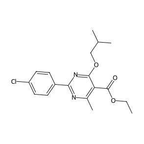 CCOC(=O)c1c(C)nc(-c2ccc(Cl)cc2)nc1OCC(C)C